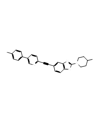 CC1CCN(c2nc3cc(C#Cc4ccc(-c5ccc(Cl)cc5)cn4)ccc3[nH]2)CC1